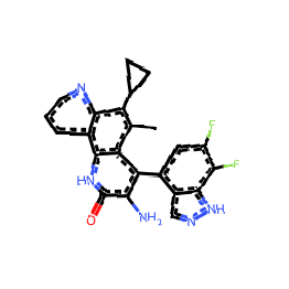 Cc1c(C2CC2)c2ncccc2c2[nH]c(=O)c(N)c(-c3cc(F)c(F)c4[nH]ncc34)c12